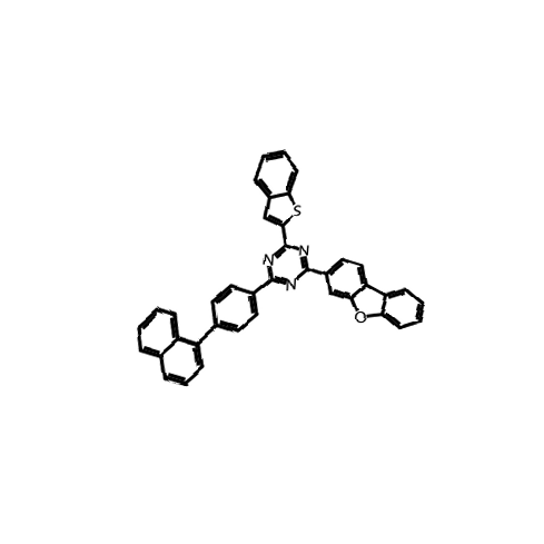 c1ccc2sc(-c3nc(-c4ccc(-c5cccc6ccccc56)cc4)nc(-c4ccc5c(c4)oc4ccccc45)n3)cc2c1